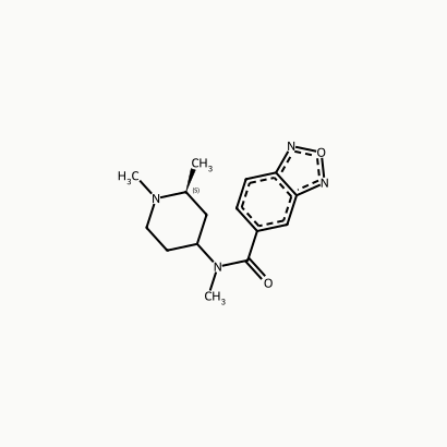 C[C@H]1CC(N(C)C(=O)c2ccc3nonc3c2)CCN1C